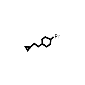 CC(C)C1CCC(CCC2CC2)CC1